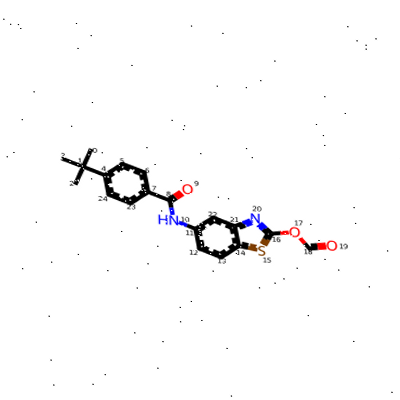 CC(C)(C)c1ccc(C(=O)Nc2ccc3sc(OC=O)nc3c2)cc1